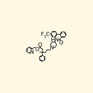 CC(CCCN1CCC(NC(=O)c2ccccc2-c2ccc(C(F)(F)F)cc2)CC1)(CC(=O)OCc1ccccn1)c1ccccc1